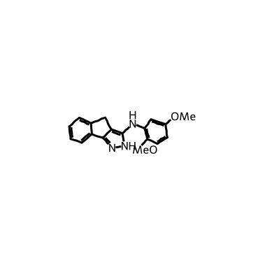 COc1ccc(OC)c(Nc2[nH]nc3c2Cc2ccccc2-3)c1